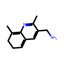 CC1=c2nc(C)c(CN)cc2=CCC1